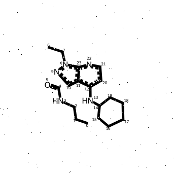 CCCNC=O.CCn1ncc2c(NC3CCCCC3)ccnc21